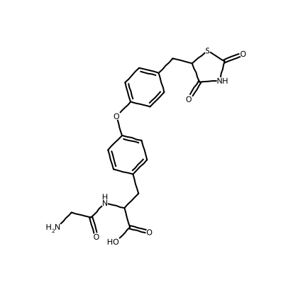 NCC(=O)NC(Cc1ccc(Oc2ccc(CC3SC(=O)NC3=O)cc2)cc1)C(=O)O